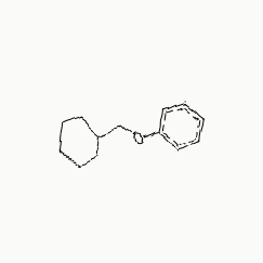 [c]1cccc(OCC2CCCCC2)c1